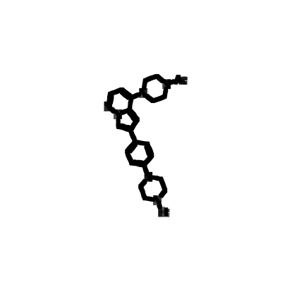 CCN1CCN(c2ccc(-c3cc4c(N5CCN(C(C)=O)CC5)ccnn4c3)cc2)CC1